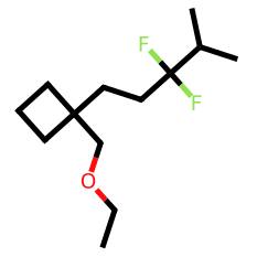 CCOCC1(CCC(F)(F)C(C)C)CCC1